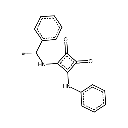 C[C@@H](Nc1c(Nc2ccccc2)c(=O)c1=O)c1ccccc1